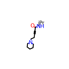 CC(C)NC(=O)C#CCCN1CCCCC1